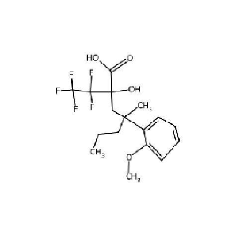 CCCC(C)(CC(O)(C(=O)O)C(F)(F)C(F)(F)F)c1ccccc1OC